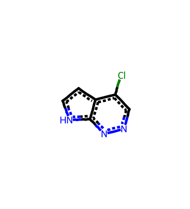 Clc1cnnc2[nH]ccc12